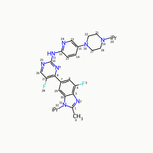 Cc1nc2c(F)cc(-c3nc(Nc4ccc(N5CCN(C(C)C)CC5)cn4)ncc3F)cc2n1C(C)C